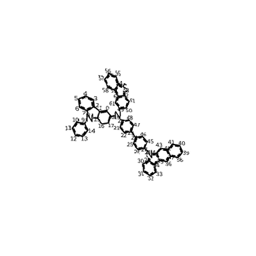 C1=C2c3ccccc3N(c3ccccc3)C2CC=C1N(c1ccc(-c2ccc(-n3c4ccccc4c4cc5ccccc5cc43)cc2)cc1)c1ccc2sc3ccccc3c2c1